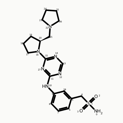 NS(=O)(=O)Cc1cccc(Nc2ncnc(N3CCC[C@H]3CN3CCCC3)n2)c1